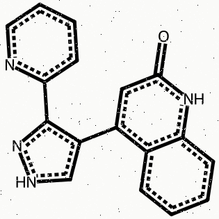 O=c1cc(-c2c[nH]nc2-c2ccccn2)c2ccccc2[nH]1